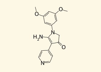 COc1cc(OC)cc(N2CC(=O)C(c3ccncc3)=C2N)c1